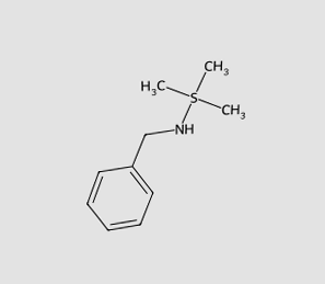 CS(C)(C)NCc1ccccc1